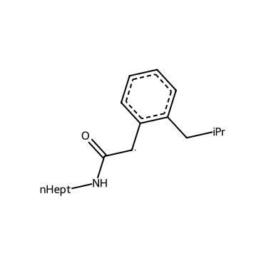 CCCCCCCNC(=O)[CH]c1ccccc1CC(C)C